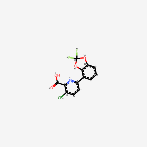 O=C(O)c1nc(-c2cccc3c2OC(F)(F)O3)ccc1Cl